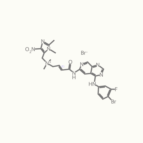 Cc1nc([N+](=O)[O-])c(C[N+](C)(C)C/C=C/C(=O)Nc2cc3c(Nc4ccc(Br)c(F)c4)ncnc3cn2)n1C.[Br-]